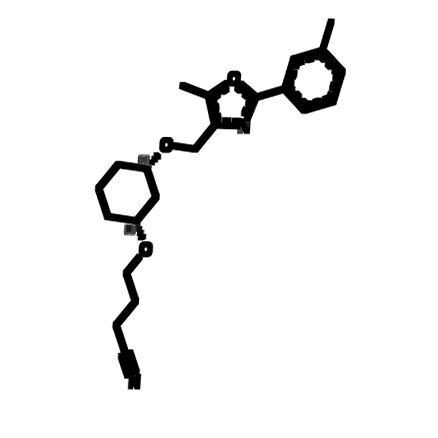 Cc1cccc(-c2nc(CO[C@H]3CCC[C@@H](OCCCC#N)C3)c(C)o2)c1